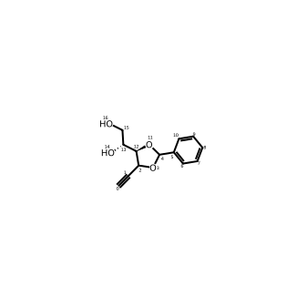 C#CC1OC(c2ccccc2)O[C@@H]1[C@H](O)CO